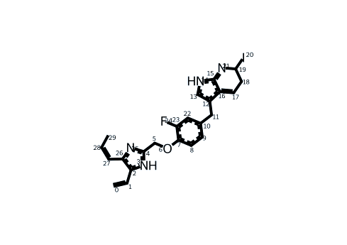 C=Cc1[nH]c(COc2ccc(Cc3c[nH]c4c3=CCC(I)N=4)cc2F)nc1/C=C\C